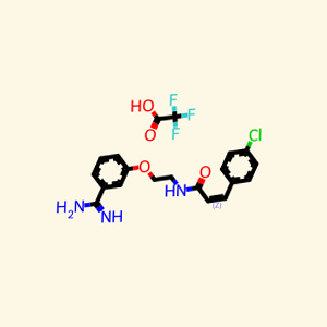 N=C(N)c1cccc(OCCNC(=O)/C=C\c2ccc(Cl)cc2)c1.O=C(O)C(F)(F)F